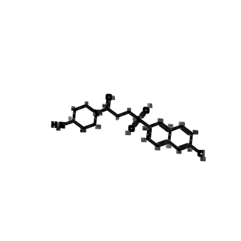 NC1CCN(C(=O)CCS(=O)(=O)c2ccc3cc(Cl)ccc3c2)CC1